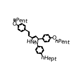 CCCCCCCc1ccc(N2NC(C=Cc3ccc(OCCCCC)cc3)=CC2c2ccc(OCCCCC)cc2)cc1